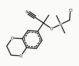 CC(C#N)(O[Si](C)(C)CCl)c1ccc2c(c1)OCCO2